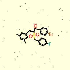 Cc1cc(C)cc(C=C(C(=O)c2ccc(Br)cc2)S(=O)(=O)Cc2ccc(F)cc2)c1